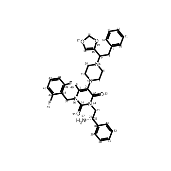 Cc1c(N2CCN(C(Cc3ccccc3)C3=COCO3)CC2)c(=O)n(C[C@@H](N)c2ccccc2)c(=O)n1Cc1c(F)cccc1F